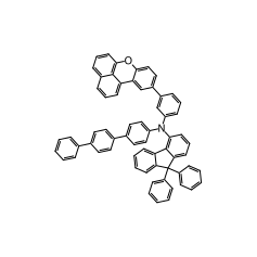 c1ccc(-c2ccc(-c3ccc(N(c4cccc(-c5ccc6c(c5)-c5cccc7cccc(c57)O6)c4)c4cccc5c4-c4ccccc4C5(c4ccccc4)c4ccccc4)cc3)cc2)cc1